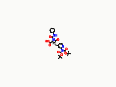 CC(C)(C)OC(=O)N(C(=O)OC(C)(C)C)c1cc(C[C@H]2C(=O)N(C(=O)Nc3ccccc3)[C@@H]2C(=O)O)ccn1